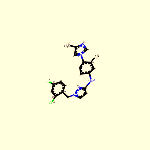 Cc1cn(-c2ccc(Nc3ccn(Cc4ccc(Cl)cc4Cl)n3)cc2C#N)cn1